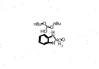 C=O.CCCCOP(O)OCCCC.c1ccc2[nH]nnc2c1